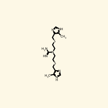 Cc1[nH]cnc1CSCCN(CCSCc1nc[nH]c1C)C(=N)N